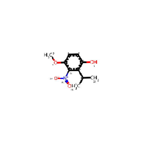 COc1ccc(O)c(C(C)C)c1[N+](=O)[O-]